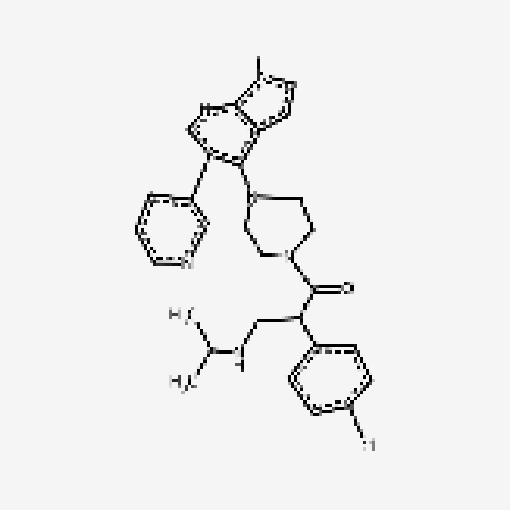 CC(C)NCC(C(=O)N1CCN(c2c(-c3cccnc3)cnc3[nH]ccc23)CC1)c1ccc(Cl)cc1